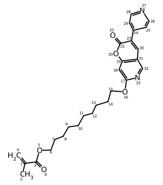 C=C(C)C(=O)OCCCCCCCCCCOc1cc2oc(=O)c(-c3ccncc3)cc2cn1